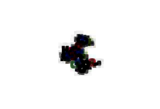 CCOc1cc(-c2ncc3c(N4C[C@H]5CC[C@@](C)(C4)N5C(=O)OC(C)(C)C)nc(OC[C@]45CCCN4C[C@@H](F)C5)nc3c2F)c2c(Cl)cccc2c1